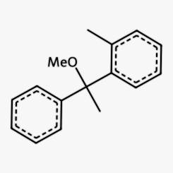 COC(C)(c1ccccc1)c1ccccc1C